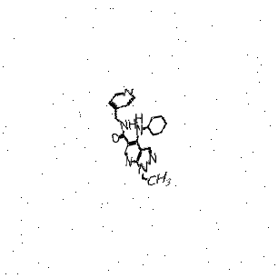 CCn1ncc2c(NC3CCCCC3)c(C(=O)NCc3ccncc3)cnc21